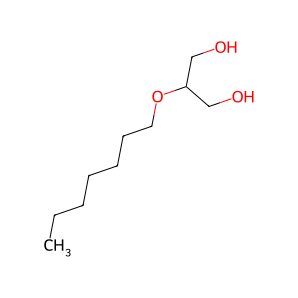 CCCCCCCOC(CO)CO